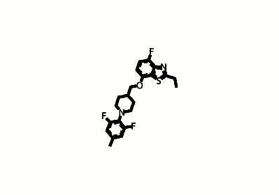 CCc1nc2c(F)ccc(OCC3CCN(c4c(F)cc(C)cc4F)CC3)c2s1